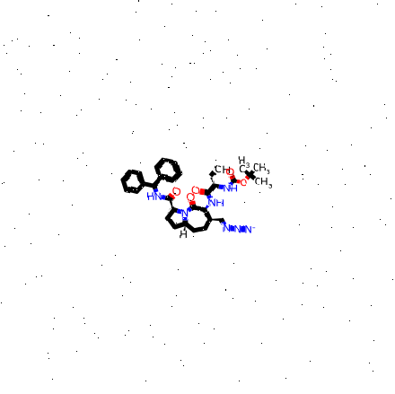 CC[C@H](NC(=O)OC(C)(C)C)C(=O)N[C@@H]1C(=O)N2[C@@H](CC[C@@H]1CN=[N+]=[N-])CC[C@H]2C(=O)NC(c1ccccc1)c1ccccc1